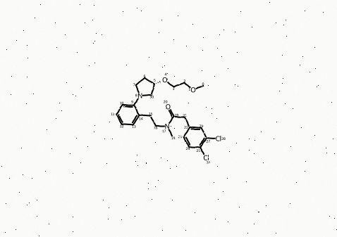 COCCO[C@H]1CCN(c2ccccc2CCN(C)C(=O)Cc2ccc(Cl)c(Cl)c2)C1